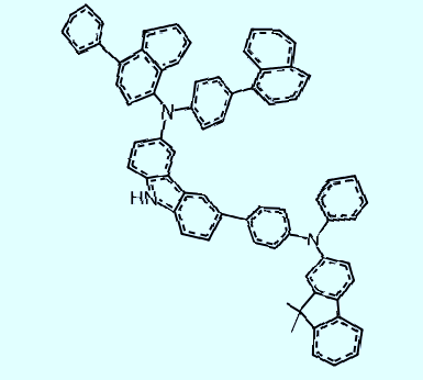 CC1(C)c2ccccc2-c2ccc(N(c3ccccc3)c3ccc(-c4ccc5[nH]c6ccc(N(c7ccc(-c8cccc9ccccc89)cc7)c7ccc(-c8ccccc8)c8ccccc78)cc6c5c4)cc3)cc21